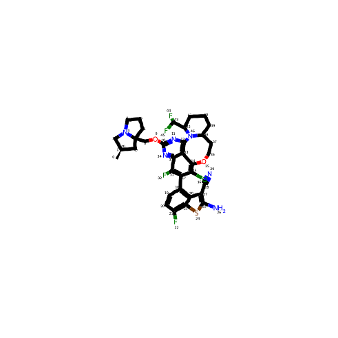 C[C@H]1CN2CCCC2(COc2nc3c4c(c(Cl)c(-c5ccc(F)c6sc(N)c(C#N)c56)c(F)c4n2)OCCC2CCCC(C(F)F)N32)C1